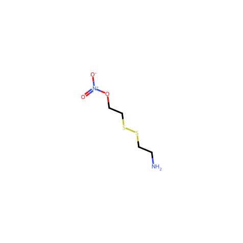 NCCSSCCO[N+](=O)[O-]